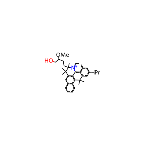 C=c1cc(C(C)C)cc2c1=C1c3c(cc4ccccc4c3C2(C)C)C(C)(C)C(C)(CCC(CO)OC)/[N+]1=C/C